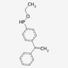 C=C(c1ccccc1)c1ccc(POCC)cc1